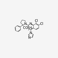 O=C(O)C1(c2ccccc2)CCCN1c1cc(-n2ccnc2)c2ccc(Cl)c(Cl)c2n1